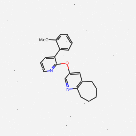 COc1ccccc1-c1cccnc1Oc1cnc2c(c1)CCCCC2